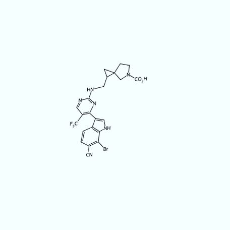 N#Cc1ccc2c(-c3nc(NCC4CC45CCN(C(=O)O)C5)ncc3C(F)(F)F)c[nH]c2c1Br